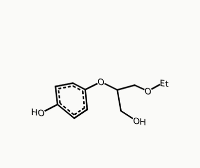 CCOCC(CO)Oc1ccc(O)cc1